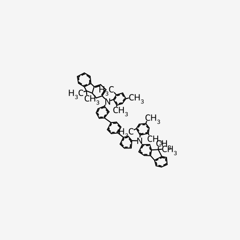 Cc1cc(C)c(N(C2=CC=C3c4ccccc4C(C)(C)C3C2)c2cccc(-c3ccc(-c4cccc(N(c5ccc6c(c5)C(C)(C)c5ccccc5-6)c5c(C)cc(C)cc5C)c4)cc3)c2)c(C)c1